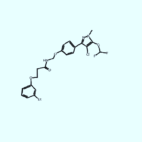 CCc1cccc(OCCC(=O)NCOc2ccc(-c3nn(C)c(OC(F)F)c3Cl)cc2)c1